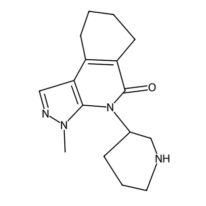 Cn1ncc2c3c(c(=O)n(C4CCCNC4)c21)CCCC3